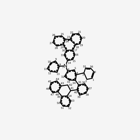 C1=CCC(c2cc(N(c3ccccc3)c3ccc4c5ccccc5c5ccccc5c4c3)ccc2-c2ccccc2C2Cc3ccccc3-c3ccccc32)C=C1